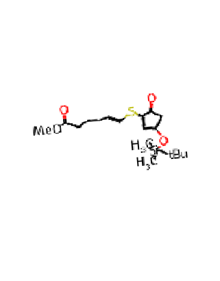 COC(=O)CCCC=CSC1=C[C@H](O[Si](C)(C)C(C)(C)C)CC1=O